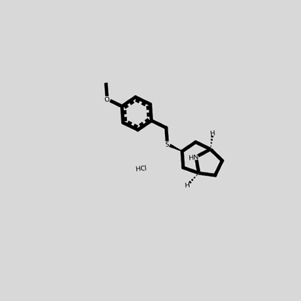 COc1ccc(CS[C@H]2C[C@H]3CC[C@@H](C2)N3)cc1.Cl